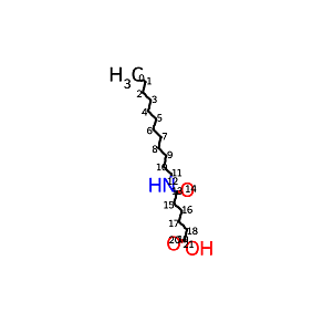 CCCCCCCCCCCCNC(=O)CCCCC(=O)O